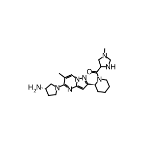 Cc1cn2nc([C@@H]3CCCCN3C(=O)C3CN(C)CN3)cc2nc1N1CC[C@H](N)C1